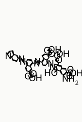 Nc1cc2c(O)c(/N=N/c3ccc(/N=N/c4ccc(/N=N/c5ccc6ncccc6c5)c5ccc(S(=O)(=O)O)cc45)c4ccc(S(=O)(=O)O)cc34)c(SOOO)cc2cc1S(=O)(=O)O